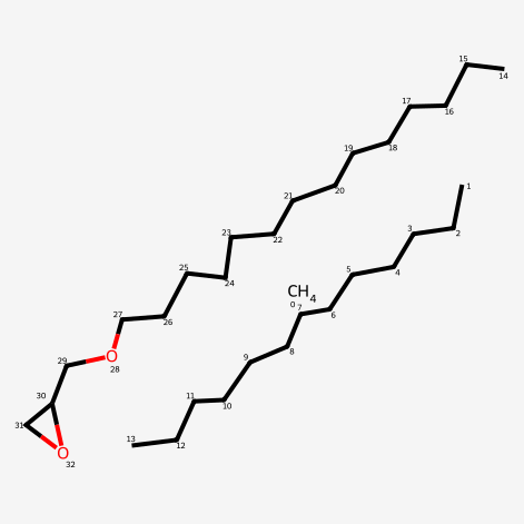 C.CCCCCCCCCCCCC.CCCCCCCCCCCCCCOCC1CO1